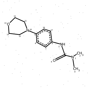 CN(C)C(=O)Nc1ccc(N2CCOCC2)cc1